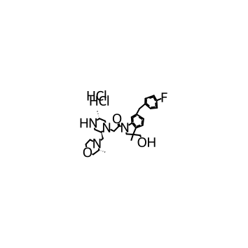 C[C@@H]1CN(CC(=O)N2CC(C)(CO)c3ccc(Cc4ccc(F)cc4)cc32)[C@@H](CN2CCOC[C@H]2C)CN1.Cl.Cl